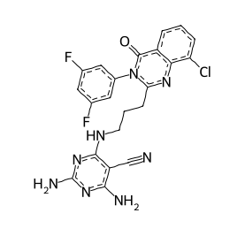 N#Cc1c(N)nc(N)nc1NCCCc1nc2c(Cl)cccc2c(=O)n1-c1cc(F)cc(F)c1